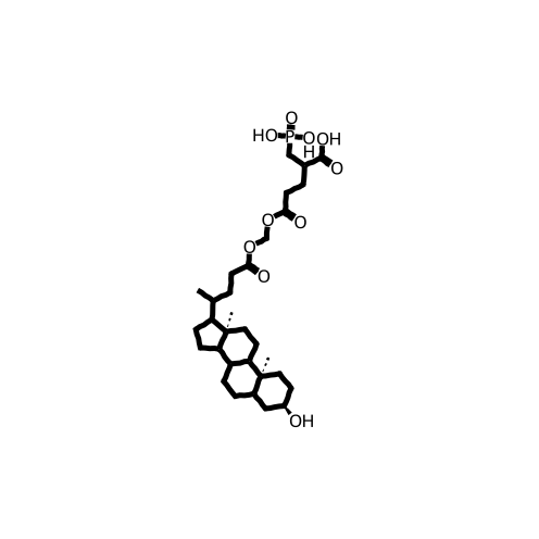 CC(CCC(=O)OCOC(=O)CCC(CP(=O)(O)O)C(=O)O)C1CCC2C3CCC4C[C@H](O)CC[C@]4(C)C3CC[C@]12C